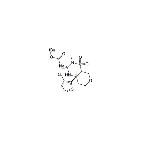 CN1/C(=N\C(=O)OC(C)(C)C)N[C@@]2(c3sccc3Cl)CCOCC2S1(=O)=O